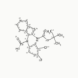 CC(C)(C)OC(=O)Nc1sc2cnccc2c1N(C(=O)O)c1ccc(F)c(Cl)c1